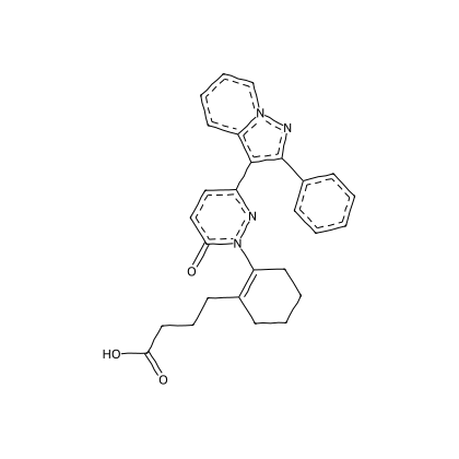 O=C(O)CCCC1=C(n2nc(-c3c(-c4ccccc4)nn4ccccc34)ccc2=O)CCCC1